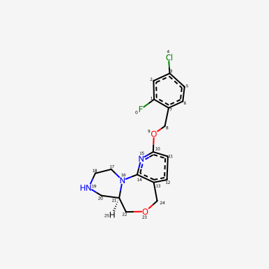 Fc1cc(Cl)ccc1COc1ccc2c(n1)N1CCNC[C@@H]1COC2